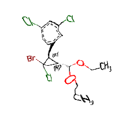 CCOC(OCC)[C@H]1[C@H](c2cc(Cl)cc(Cl)c2)C1(Cl)Br